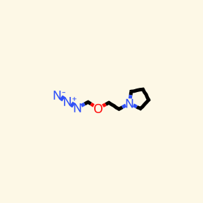 [N-]=[N+]=NCOCCN1CCCC1